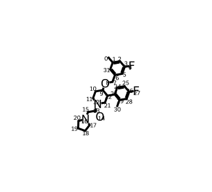 Cc1cc(F)cc(COC2CCN(C(=O)CN3CCCC3)CC2c2ccc(F)cc2C)c1